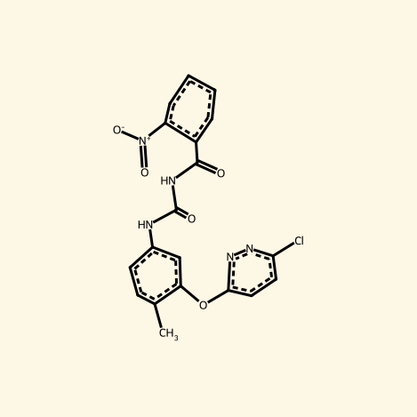 Cc1ccc(NC(=O)NC(=O)c2ccccc2[N+](=O)[O-])cc1Oc1ccc(Cl)nn1